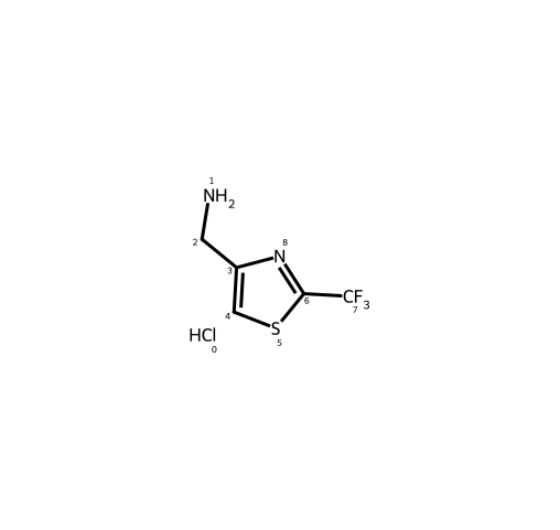 Cl.NCc1csc(C(F)(F)F)n1